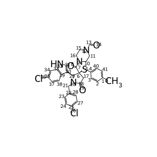 Cc1ccc(S[C@@]2(C(=O)N3CCN(C=O)CC3)CC(=O)N(Cc3ccc(Cl)cc3)[C@H]2c2c[nH]c3cc(Cl)ccc23)cc1